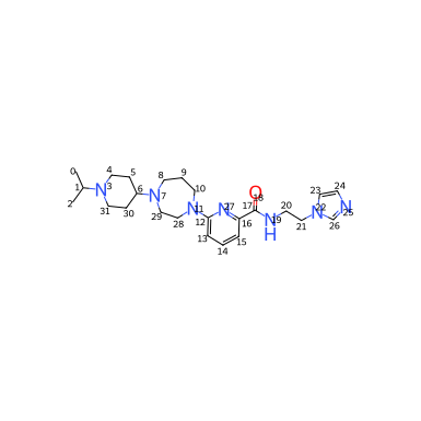 CC(C)N1CCC(N2CCCN(c3cccc(C(=O)NCCn4ccnc4)n3)CC2)CC1